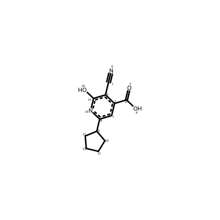 N#Cc1c(C(=O)O)cc(C2CCCC2)nc1O